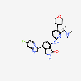 C[C@@H](c1nc(Nc2ccc(-c3cnc4cc(F)ccn34)c3c2C(=O)NC3)ccc1C1CCOCC1)N(C)C